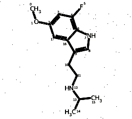 COc1cc(F)c2[nH]cc(CCNC(C)C)c2c1